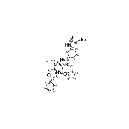 Cn1c(=O)n(CC(=O)c2ccccc2)c(=O)c2c1nc(N1CCCC(NC(=O)OC(C)(C)C)C1)n2Cc1ccco1